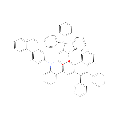 c1ccc(-c2c(-c3ccccc3)c3cc(-c4ccccc4N(c4ccc5c(c4)C(c4ccccc4)(c4ccccc4)c4ccccc4-5)c4ccc5c(ccc6ccccc65)c4)ccc3c3ccccc23)cc1